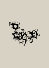 CC1C[C@@]2(CCN1C(=O)c1ncccc1F)O[C@@H]1CC[C@@H](c3cccc(F)c3)N1C2=O